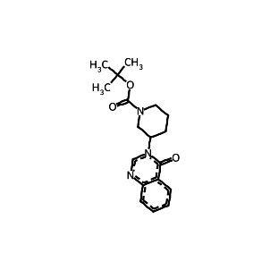 CC(C)(C)OC(=O)N1CCCC(n2cnc3ccccc3c2=O)C1